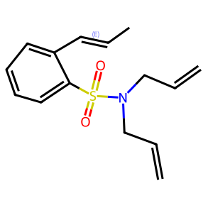 C=CCN(CC=C)S(=O)(=O)c1ccccc1/C=C/C